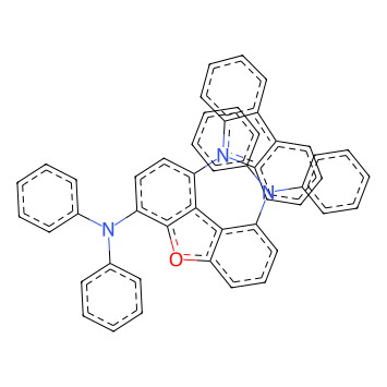 c1ccc(N(c2ccccc2)c2ccc(-n3c4ccccc4c4ccccc43)c3c2oc2cccc(N(c4ccccc4)c4ccccc4)c23)cc1